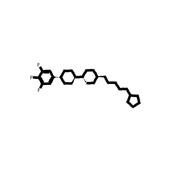 Fc1cc([C@H]2CC[C@H]([C@H]3CC[C@H](CCCCCC4CCCC4)CC3)CC2)cc(F)c1F